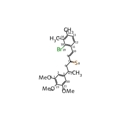 COc1cc(C(C)CC(=S)/C=C/c2ccc(C)c(C)c2Br)cc(OC)c1OC